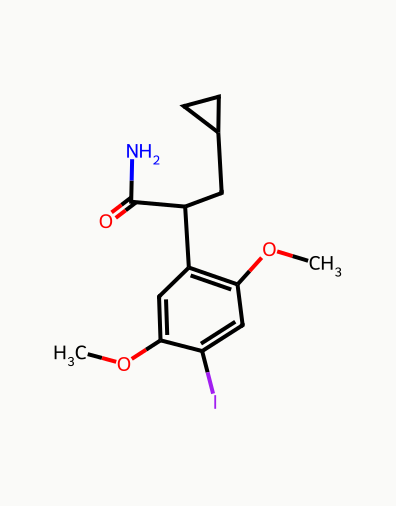 COc1cc(C(CC2CC2)C(N)=O)c(OC)cc1I